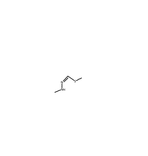 CN/N=C\SC